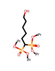 CC(C)OP(=O)(OC(C)C)C(CCCCCO)P(=O)(OC(C)C)OC(C)C